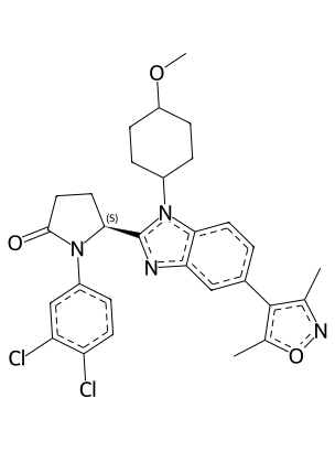 COC1CCC(n2c([C@@H]3CCC(=O)N3c3ccc(Cl)c(Cl)c3)nc3cc(-c4c(C)noc4C)ccc32)CC1